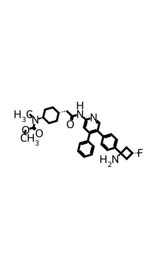 COC(=O)N(C)[C@H]1CC[C@H](CC(=O)Nc2cc(-c3ccccc3)c(-c3ccc([C@]4(N)C[C@H](F)C4)cc3)cn2)CC1